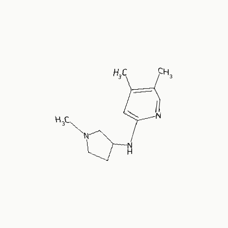 Cc1cnc(NC2CCN(C)C2)cc1C